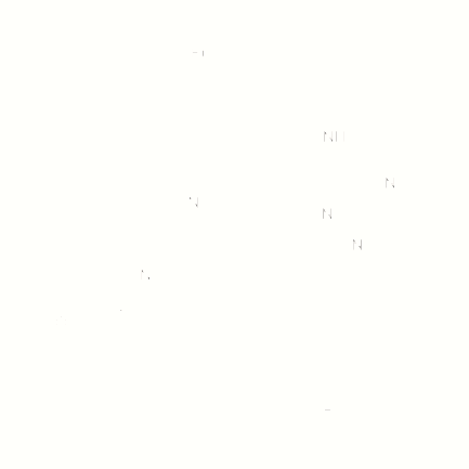 CCc1cc(Nc2ncn(-c3ccc(F)c(F)c3)n2)cc(N2CCN(C3(C)COC3)CC2)c1